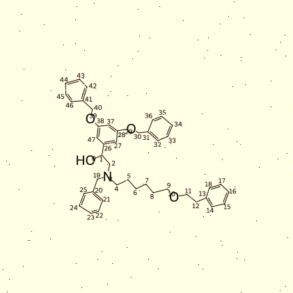 OC(CN(CCCCCCOCCc1ccccc1)Cc1ccccc1)c1cc(OCc2ccccc2)cc(OCc2ccccc2)c1